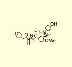 COc1ccc(-c2sc(NC(=O)CC3CCOCC3)nc2C)cc1[S+]([O-])Nc1ccc(O)cc1